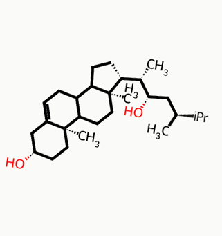 CC(C)[C@@H](C)C[C@H](O)[C@@H](C)[C@H]1CCC2C3CC=C4C[C@@H](O)CC[C@]4(C)C3CC[C@@]21C